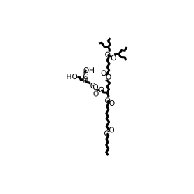 CCCCCCCOC(=O)CCCCCCCC(=O)OCC(CCCCOC(=O)CCCCC(OCC(CCC)CCC)OCC(CCC)CCC)COC(=O)OCCCN(CCO)CCO